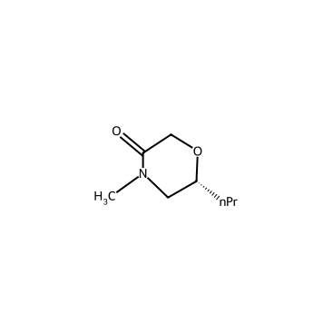 CCC[C@@H]1CN(C)C(=O)CO1